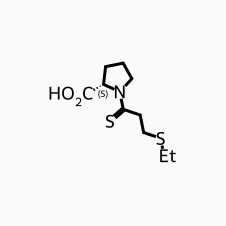 CCSCCC(=S)N1CCC[C@H]1C(=O)O